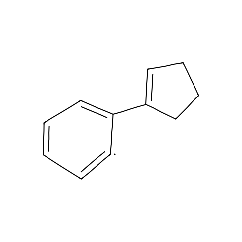 [c]1ccccc1C1=CCCC1